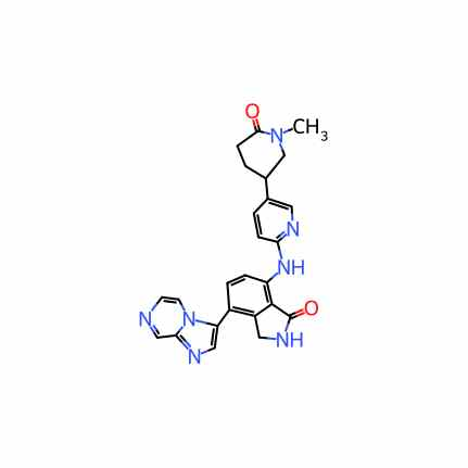 CN1CC(c2ccc(Nc3ccc(-c4cnc5cnccn45)c4c3C(=O)NC4)nc2)CCC1=O